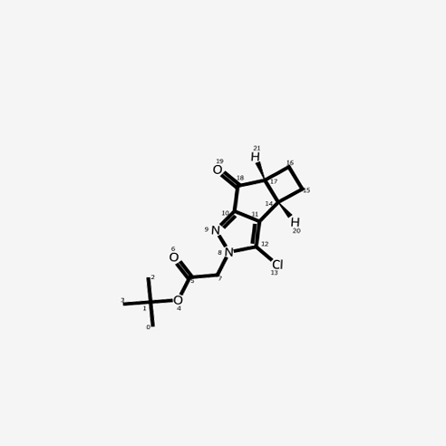 CC(C)(C)OC(=O)Cn1nc2c(c1Cl)[C@H]1CC[C@H]1C2=O